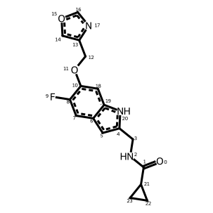 O=C(NCc1cc2cc(F)c(OCc3cocn3)cc2[nH]1)C1CC1